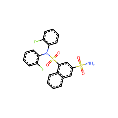 NS(=O)(=O)c1cc(S(=O)(=O)N(c2ccccc2F)c2ccccc2F)c2ccccc2c1